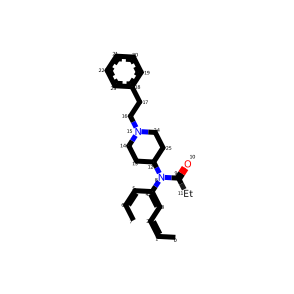 C\C=C/C=C(\C=C/C)N(C(=O)CC)C1CCN(CCc2ccccc2)CC1